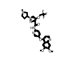 COc1cc2nccc(Oc3ccc(NC(=O)c4nn(C5CCN(C)C5)cc4OCC(F)(F)F)nc3)c2cc1OC